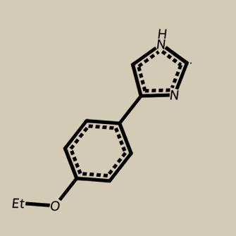 CCOc1ccc(-c2c[nH][c]n2)cc1